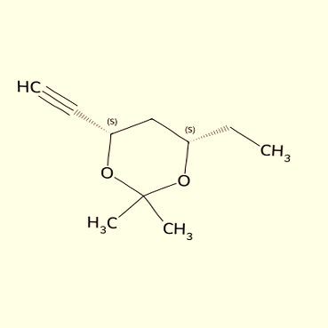 C#C[C@@H]1C[C@H](CC)OC(C)(C)O1